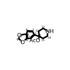 CC(=O)OC1(c2ccc3c(c2)OCO3)CCNCC1